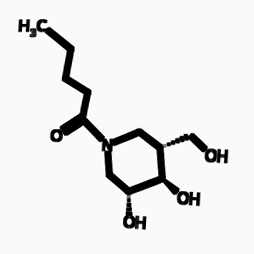 CCCCC(=O)N1C[C@H](CO)[C@@H](O)[C@H](O)C1